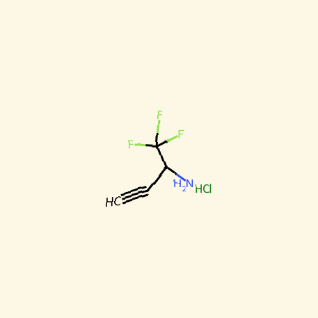 C#CC(N)C(F)(F)F.Cl